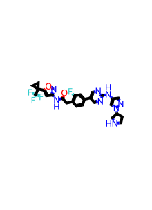 O=C(Cc1ccc(-c2cnc(Nc3cnn(C4CCNC4)c3)nc2)cc1F)Nc1cc(C2(C(F)(F)F)CC2)on1